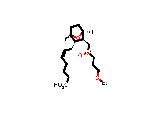 CCOCCC[S+]([O-])C[C@H]1[C@H](C/C=C\CCCC(=O)O)[C@@H]2CC[C@@H]1O2